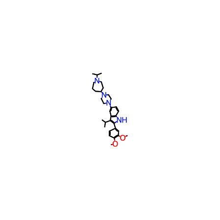 COc1ccc(-c2[nH]c3ccc(N4CCN(C5CCCN(C(C)C)CC5)CC4)cc3c2C(C)C)cc1OC